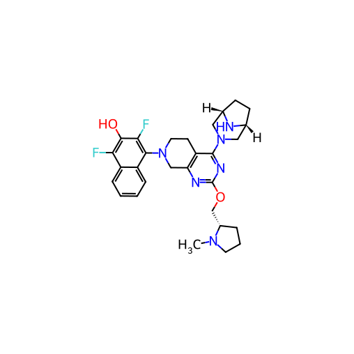 CN1CCC[C@H]1COc1nc2c(c(N3C[C@H]4CC[C@@H](C3)N4)n1)CCN(c1c(F)c(O)c(F)c3ccccc13)C2